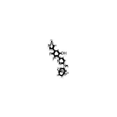 CN(c1ccc(-c2c(O)cc(-c3cnn(C)c3)c(F)c2F)nn1)[C@@H]1C[C@]2(C)CC[C@](C)(C1)N2